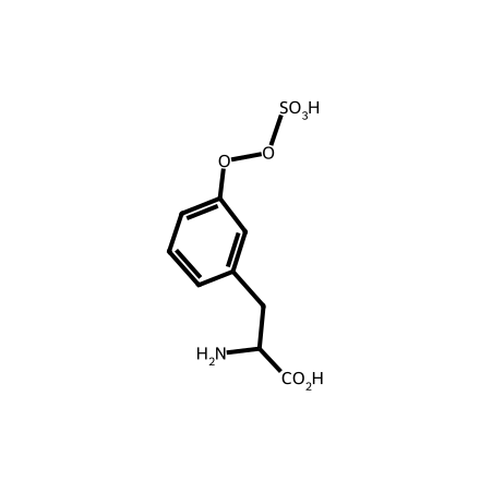 NC(Cc1cccc(OOS(=O)(=O)O)c1)C(=O)O